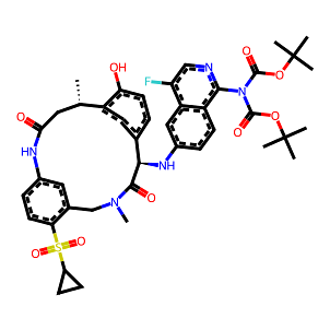 C[C@H]1CC(=O)Nc2ccc(S(=O)(=O)C3CC3)c(c2)CN(C)C(=O)[C@H](Nc2ccc3c(N(C(=O)OC(C)(C)C)C(=O)OC(C)(C)C)ncc(F)c3c2)c2ccc(O)c1c2